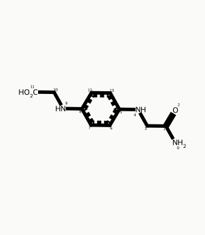 NC(=O)CNc1ccc(NCC(=O)O)cc1